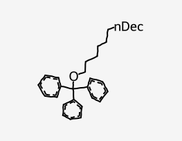 [CH2]CCCCCCCCCCCCCCCOC(c1ccccc1)(c1ccccc1)c1ccccc1